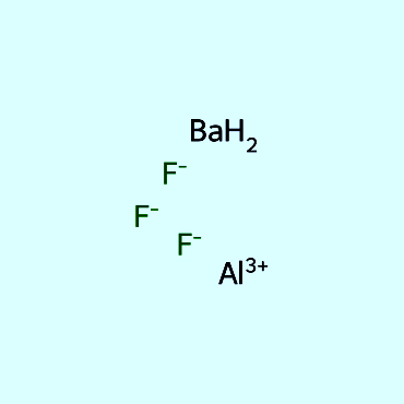 [Al+3].[BaH2].[F-].[F-].[F-]